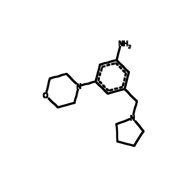 Nc1cc(CN2CCCC2)cc(N2CCOCC2)c1